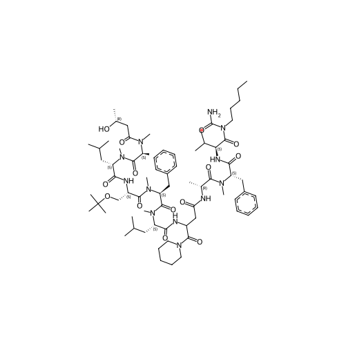 CCCCCN(C(N)=O)C(=O)[C@@H](NC(=O)[C@H](Cc1ccccc1)N(C)C(=O)[C@@H](C)NC(=O)CC(NC(=O)[C@H](CC(C)C)N(C)C(=O)[C@H](Cc1ccccc1)N(C)C(=O)[C@H](COC(C)(C)C)NC(=O)[C@H](CC(C)C)N(C)C(=O)[C@H](C)N(C)C(=O)C[C@@H](C)O)C(=O)N1CCCCC1)C(C)C